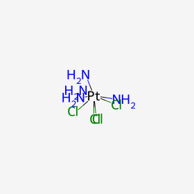 [NH2][Pt]([NH2])([NH2])([NH2])([Cl])([Cl])([Cl])[Cl]